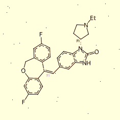 CCN1CC[C@@H](n2c(=O)[nH]c3cc(/C=C4\c5ccc(F)cc5COc5cc(F)ccc54)ccc32)C1